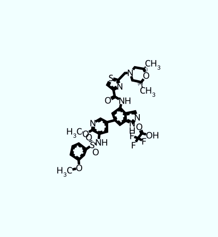 COc1cccc(S(=O)(=O)Nc2cc(-c3cc(NC(=O)c4csc(CN5C[C@@H](C)O[C@@H](C)C5)n4)c4cn[nH]c4c3)cnc2OC)c1.O=C(O)C(F)(F)F